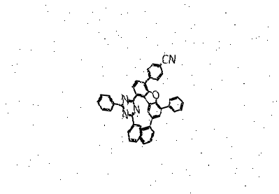 N#Cc1ccc(-c2ccc(-c3nc(-c4ccccc4)nc(-c4ccccc4)n3)c3c2oc2c(-c4ccccc4)cc(-c4ccccc4)cc23)cc1